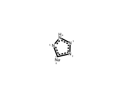 [Na].c1nn[nH]n1